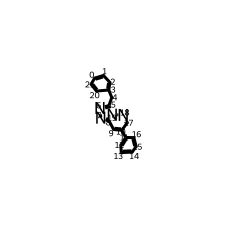 c1ccc(Cc2nnc3cc(-c4ccccc4)cnn23)cc1